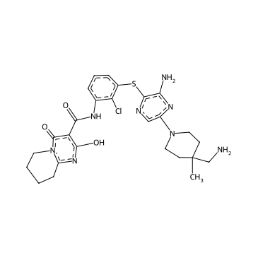 CC1(CN)CCN(c2cnc(Sc3cccc(NC(=O)c4c(O)nc5n(c4=O)CCCC5)c3Cl)c(N)n2)CC1